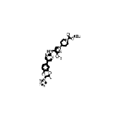 C[C@@H](Cn1cnnn1)Oc1cc(-c2cnc(Nc3cn(C4CCN(C(=O)OC(C)(C)C)CC4)nc3C(F)(F)F)nc2)ccc1Cl